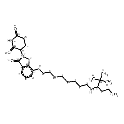 CCCC(NCCCCCCCCSc1cccc2c1CN(C1CCC(=O)NC1=O)C2=O)C(C)(C)C